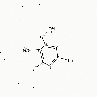 OCc1cc(F)cc(F)c1O